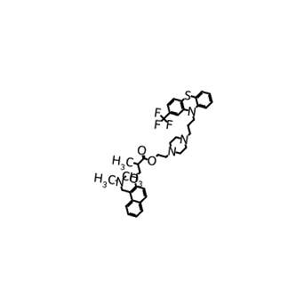 CC(COc1ccc2ccccc2c1CN(C)C)C(=O)OCCN1CCN(CCCN2c3ccccc3Sc3ccc(C(F)(F)F)cc32)CC1